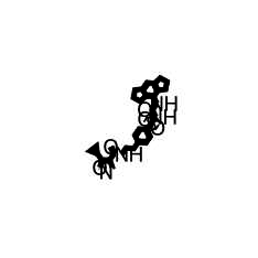 O=C(Nc1c2c(cc3c1CCC3)CCC2)NS(=O)(=O)c1ccc(CCNC(=O)c2cnoc2C2CC2)cc1